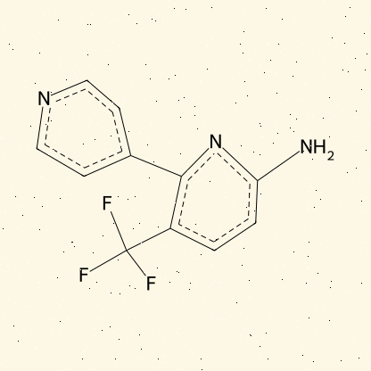 Nc1ccc(C(F)(F)F)c(-c2ccncc2)n1